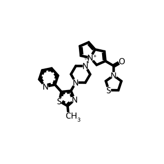 Cc1nc(N2CCN([N@@+]34C=CC=C3C=C(C(=O)N3CCSC3)C4)CC2)c(-c2ccccn2)s1